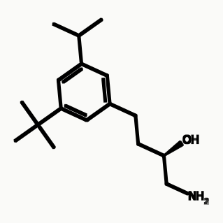 CC(C)c1cc(CC[C@@H](O)CN)cc(C(C)(C)C)c1